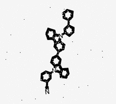 N#Cc1cccc(-n2c3ccccc3c3cc(-c4ccc5c(c4)c4ccccc4n5-c4cccc(-c5ccccc5)c4)ccc32)c1